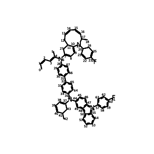 C/C=C\C=C(/C)N(C1=CC=C2C(C/C=C\C=C/C(C)N2C2C=CC(F)=CC2)C1)c1ccc(-c2ccc(N(C3=CC=CC(C)C3)c3ccc4c(c3)c3ccccc3n4-c3ccc(F)cc3)cc2)cc1